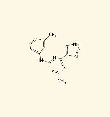 Cc1cc(Nc2cc(C(F)(F)F)ccn2)nc(-c2c[nH]nn2)c1